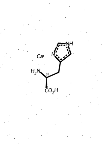 N[C@@H](Cc1c[nH]cn1)C(=O)O.[Ca]